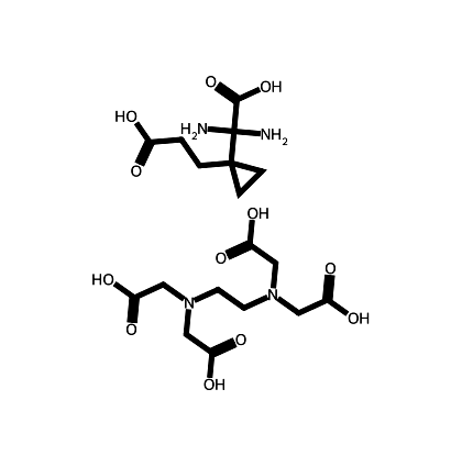 NC(N)(C(=O)O)C1(CCC(=O)O)CC1.O=C(O)CN(CCN(CC(=O)O)CC(=O)O)CC(=O)O